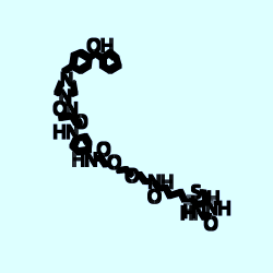 O=C(CCCC[C@H]1SC[C@H]2NC(=O)N[C@H]21)NCCOCCOCC(=O)Nc1ccc(NC(=O)c2coc(N3CCN(Cc4ccc(C(O)c5ccccc5)cc4)CC3)n2)cc1